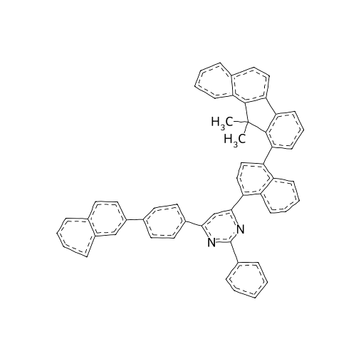 CC1(C)c2c(cccc2-c2ccc(-c3cc(-c4ccc(-c5ccc6ccccc6c5)cc4)nc(-c4ccccc4)n3)c3ccccc23)-c2ccc3ccccc3c21